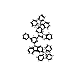 c1ccc(-c2cc(-n3c4ccccc4c4cc([Si](c5ccccc5)(c5ccccc5)c5ccccc5)ccc43)nc(-n3c4ccc([Si](c5ccccc5)(c5ccccc5)c5ccccc5)cc4n4c5ccccc5nc34)c2)cc1